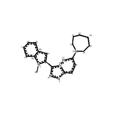 Cn1c(-c2nnc3ccc(N4CCCCCC4)nn23)cc2ccccc21